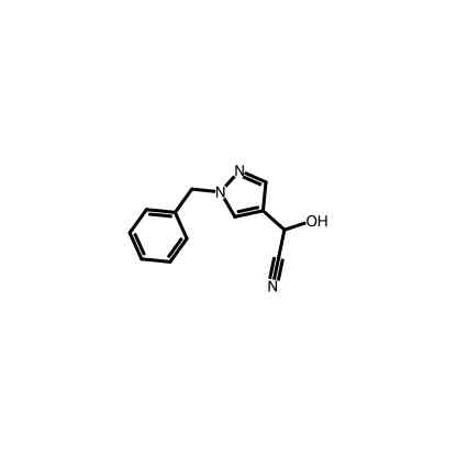 N#CC(O)c1cnn(Cc2ccccc2)c1